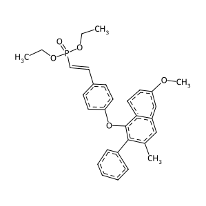 CCOP(=O)(/C=C/c1ccc(Oc2c(-c3ccccc3)c(C)cc3cc(OC)ccc23)cc1)OCC